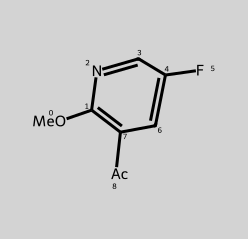 COc1ncc(F)cc1C(C)=O